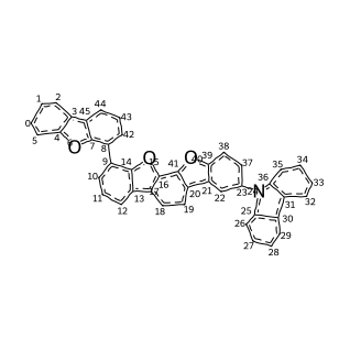 c1ccc2c(c1)oc1c(-c3cccc4c3oc3c4ccc4c5cc(-n6c7ccccc7c7ccccc76)ccc5oc43)cccc12